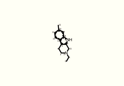 CCN1CCc2c([nH]c3cc(C)ccc23)C1